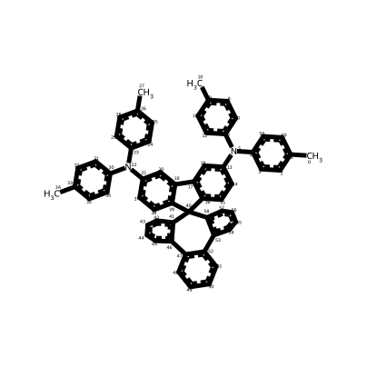 Cc1ccc(N(c2ccc(C)cc2)c2ccc3c(c2)-c2cc(N(c4ccc(C)cc4)c4ccc(C)cc4)ccc2C32c3ccccc3-c3ccccc3-c3ccccc32)cc1